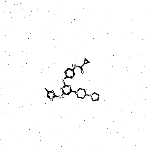 Cc1cnc(Nc2cc(N3CCC(N4CCCC4)CC3)nc(Sc3ccc(NC(=O)C4CC4)cc3)n2)s1